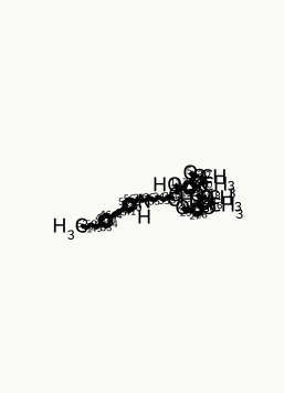 CC1(C)OC(=O)c2cc(C(=O)O)ccc2O1.CC1(C)OC(=O)c2cc(C=O)ccc2O1.CCCCCCNCc1ccc(C#Cc2ccc(CCCC)cc2)cc1